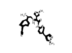 C[C@@H](CNC(C(=O)Nc1ccc(-c2cnn(C)c2)cn1)c1cnn(C)c1)c1ccc(C#N)cc1